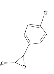 C[C@H]1OC1c1ccc(Cl)cc1